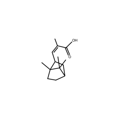 CC(=CC1CC2CCC1(C)C2(C)C)C(=O)O